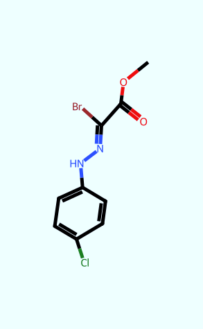 COC(=O)C(Br)=NNc1ccc(Cl)cc1